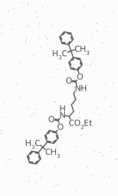 CCOC(=O)C(CCCCNC(=O)Oc1ccc(C(C)(C)c2ccccc2)cc1)NC(=O)Oc1ccc(C(C)(C)c2ccccc2)cc1